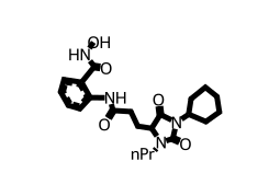 CCCN1C(=O)N(C2CCCCC2)C(=O)C1CCC(=O)Nc1ccccc1C(=O)NO